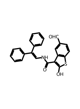 O=Cc1ccc2sc(O)c(C(=O)NC=C(c3ccccc3)c3ccccc3)c2c1